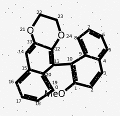 COc1ccc2ccccc2c1-c1c2c(cc3ccccc13)OCCO2